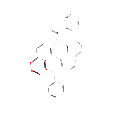 O=C(Nc1ccc2ccccc2c1-c1c(P(c2ccccc2)c2ccccc2)ccc2ccccc12)c1ccccn1